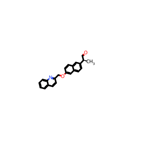 C[C@H](C=O)c1ccc2cc(OCc3ccc4ccccc4n3)ccc2c1